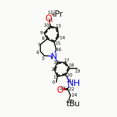 Cc1cc(N2CCCc3cc(OC(C)C)ccc3C2)cc(C)c1NC(=O)CC(C)(C)C